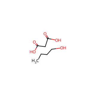 CCCCO.O=C(O)CC(=O)O